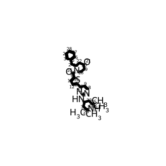 CC1(C)CC(Nc2nccc(-c3ccc(C(=O)N4CCC(=O)CC4Cc4ccccc4)s3)n2)CC(C)(C)N1